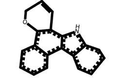 C1=Cc2c(c3ccccc3c3c2[nH]c2ccccc23)OC1